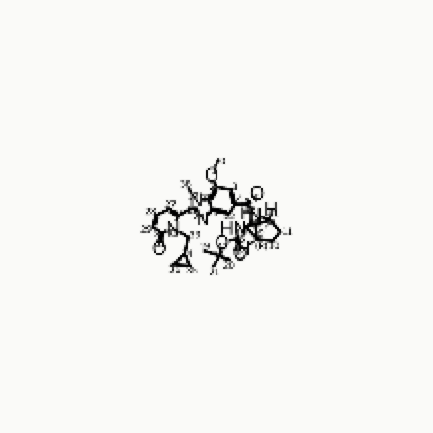 COc1cc(C(=O)N2C[C@H]3CC[C@@H]2[C@@H]3NC(=O)OC(C)(C)C)cc2nc(-c3cccc(=O)n3CC3CC3)n(C)c12